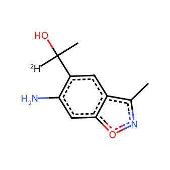 [2H]C(C)(O)c1cc2c(C)noc2cc1N